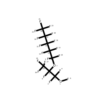 FOC(F)(F)C(F)(OC(F)(F)C(F)(F)C(F)(F)C(F)(F)C(F)(F)F)C(F)(F)F